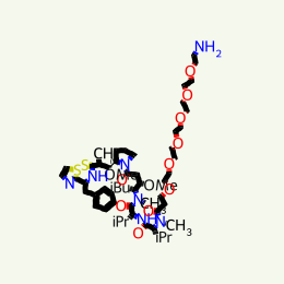 CCC(C)C(C(CC(=O)N1CCC[C@H]1C(OC)C(C)C(=S)NC(Cc1ccccc1)c1nccs1)OC)N(C)C(=O)C(NC(=O)C(C(C)C)N(C)C(=O)CCOCCOCCOCCOCCOCCOCCN)C(C)C